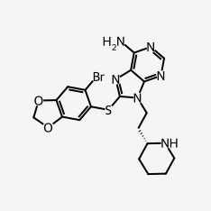 Nc1ncnc2c1nc(Sc1cc3c(cc1Br)OCO3)n2CC[C@H]1CCCCN1